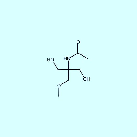 COCC(CO)(CO)NC(C)=O